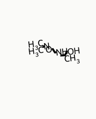 CC(C)=NOCCNC[C@@H](C)CO